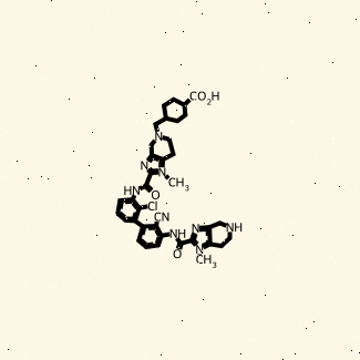 Cn1c(C(=O)Nc2cccc(-c3cccc(NC(=O)c4nc5c(n4C)CCNC5)c3C#N)c2Cl)nc2c1CCN(CC1CCC(C(=O)O)CC1)C2